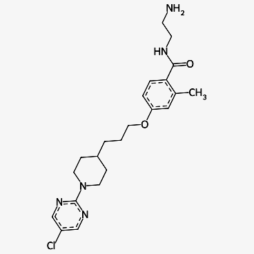 Cc1cc(OCCCC2CCN(c3ncc(Cl)cn3)CC2)ccc1C(=O)NCCN